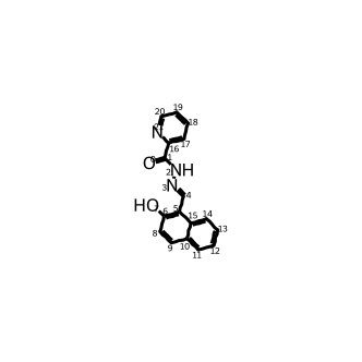 O=C(N/N=C/c1c(O)ccc2ccccc12)c1ccccn1